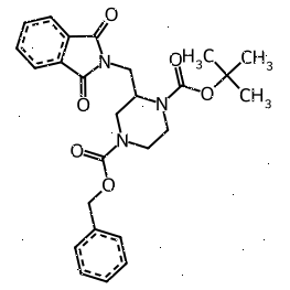 CC(C)(C)OC(=O)N1CCN(C(=O)OCc2ccccc2)CC1CN1C(=O)c2ccccc2C1=O